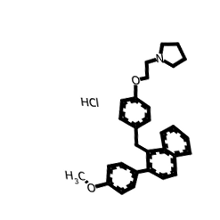 COc1ccc(-c2ccc3ccccc3c2Cc2ccc(OCCN3CCCC3)cc2)cc1.Cl